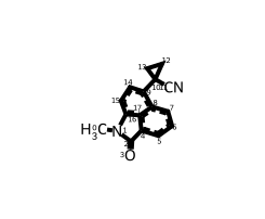 CN1C(=O)c2cccc3c(C4(C#N)CC4)ccc1c23